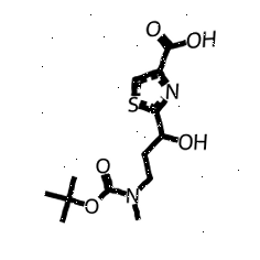 CN(CCC(O)c1nc(C(=O)O)cs1)C(=O)OC(C)(C)C